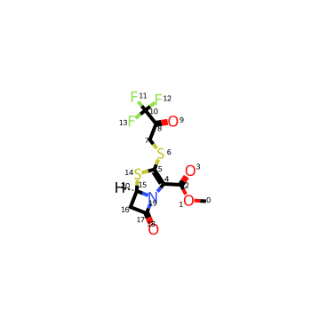 COC(=O)C1=C(SCC(=O)C(F)(F)F)S[C@@H]2CC(=O)N12